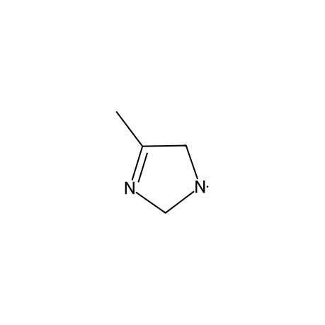 CC1=NC[N]C1